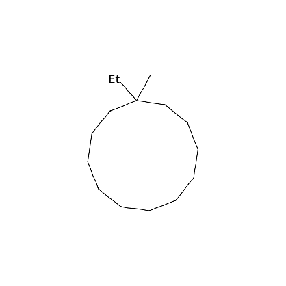 [CH2]CC1(C)CCCCCCCCCCC1